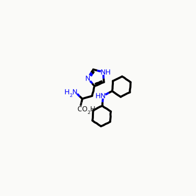 C1CCC(NC2CCCCC2)CC1.NC(Cc1c[nH]cn1)C(=O)O